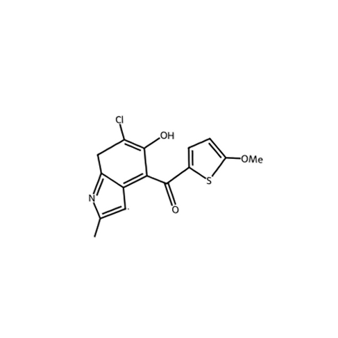 COc1ccc(C(=O)C2=C3[C]=C(C)N=C3CC(Cl)=C2O)s1